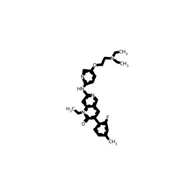 CCN(CC)CCOc1ccc(Nc2cc3c(cn2)cc(-c2ccc(C)cc2F)c(=O)n3CC)nc1